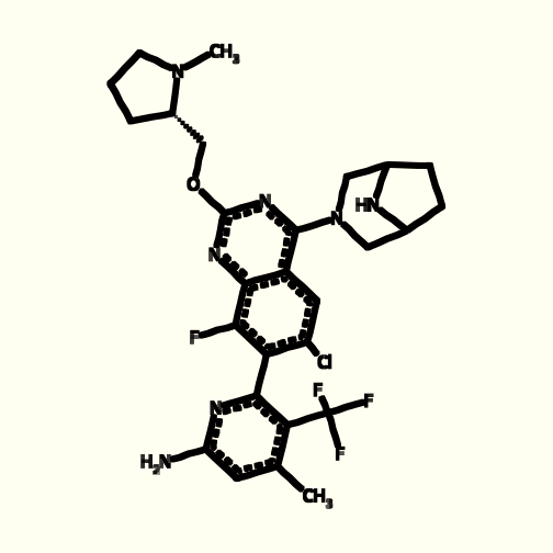 Cc1cc(N)nc(-c2c(Cl)cc3c(N4CC5CCC(C4)N5)nc(OC[C@@H]4CCCN4C)nc3c2F)c1C(F)(F)F